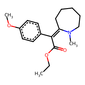 CCOC(=O)C(=C1CCCCCN1C)c1ccc(OC)cc1